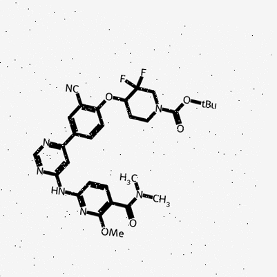 COc1nc(Nc2cc(-c3ccc(OC4CCN(C(=O)OC(C)(C)C)CC4(F)F)c(C#N)c3)ncn2)ccc1C(=O)N(C)C